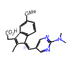 COc1ccc2c(c1)C(CC(=O)O)=C(C)/C2=C/c1cnc(N(C)C)nc1